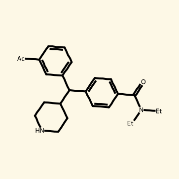 CCN(CC)C(=O)c1ccc(C(c2cccc(C(C)=O)c2)C2CCNCC2)cc1